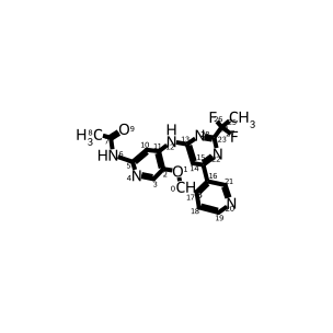 COc1cnc(NC(C)=O)cc1Nc1cc(-c2cccnc2)nc(C(C)(F)F)n1